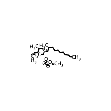 CCCCCCCCCC(C)C[S+](CC)CC(C)CCC.CCOS(=O)(=O)[O-]